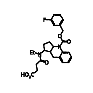 CCN(C(=O)CCC(=O)O)C1CCC2C1Cc1ccccc1N2C(=O)OCc1cccc(F)c1